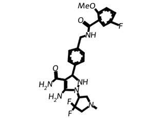 COc1ccc(F)cc1C(=O)NCc1ccc(C2NN(C3CN(C)CC3(F)F)C(N)=C2C(N)=O)cc1